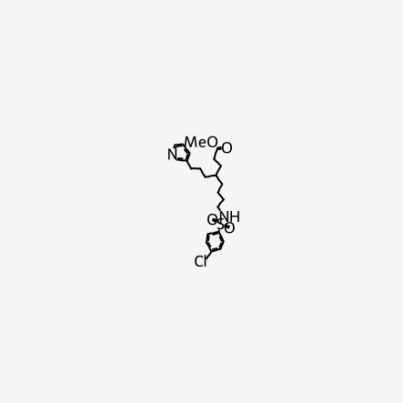 COC(=O)CCC(CCCCNS(=O)(=O)c1ccc(Cl)cc1)CCCc1cccnc1